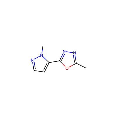 Cc1nnc(-c2ccnn2C)o1